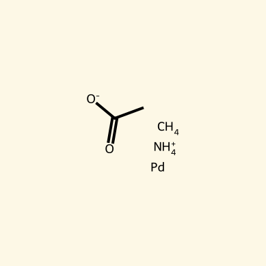 C.CC(=O)[O-].[NH4+].[Pd]